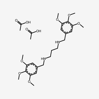 CC(=O)O.CC(=O)O.COc1cc(CNCCCNCc2cc(OC)c(OC)c(OC)c2)cc(OC)c1OC